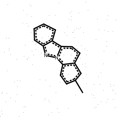 Cc1ccc2c(ccc3c4ccccc4nn23)c1